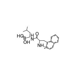 CC(C)CC(NC(=O)C(N)Cc1cccc2ccccc12)B(O)O